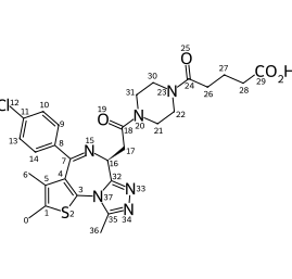 Cc1sc2c(c1C)C(c1ccc(Cl)cc1)=N[C@@H](CC(=O)N1CCN(C(=O)CCCC(=O)O)CC1)c1nnc(C)n1-2